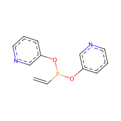 C=CP(Oc1cccnc1)Oc1cccnc1